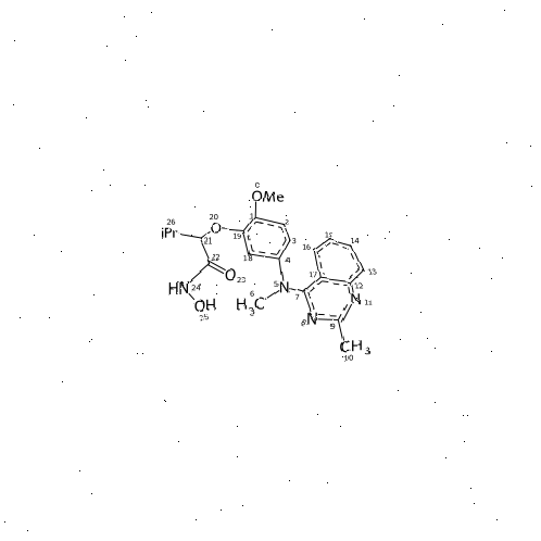 COc1ccc(N(C)c2nc(C)nc3ccccc23)cc1OC(C(=O)NO)C(C)C